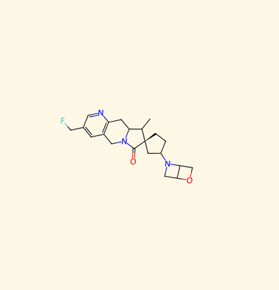 CC1C2Cc3ncc(CF)cc3CN2C(=O)[C@]12CCC(N1CC3OCC31)C2